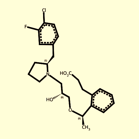 C[C@@H](OC[C@H](O)CN1CCC[C@H]1Cc1ccc(Cl)c(F)c1)c1ccccc1CCC(=O)O